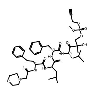 C#CCOP(=O)(OC)OCC(C)(O)C(=O)[C@H](CC(C)C)NC(=O)[C@H](Cc1ccccc1)NC(=O)C(CC(C)C)NC(=O)[C@H](CCc1ccccc1)NC(=O)CN1CCOCC1